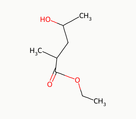 CCOC(=O)C(C)CC(C)O